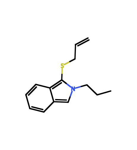 C=CCSc1c2ccccc2cn1CCC